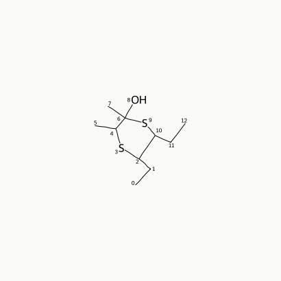 CCC1SC(C)C(C)(O)SC1CC